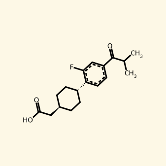 CC(C)C(=O)c1ccc([C@H]2CC[C@H](CC(=O)O)CC2)c(F)c1